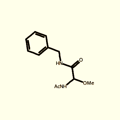 COC(NC(C)=O)C(=O)NCc1ccccc1